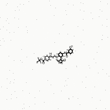 COc1cccc(C(=O)Nc2ccc(OCCNC3CCN(C(=O)OC(C)(C)C)CC3)c(-c3c(Cl)cnn3C)c2)c1